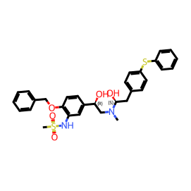 CN(C[C@H](O)c1ccc(OCc2ccccc2)c(NS(C)(=O)=O)c1)[C@@H](O)Cc1ccc(Sc2ccccc2)cc1